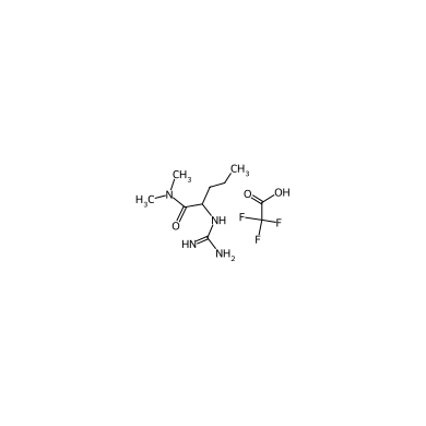 CCCC(NC(=N)N)C(=O)N(C)C.O=C(O)C(F)(F)F